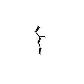 C=C/C=C(\C)C=C